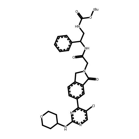 CC(C)(C)OC(=O)NCC(NC(=O)CN1Cc2ccc(-c3nc(NC4CCOCC4)ncc3Cl)cc2C1=O)c1ccccc1